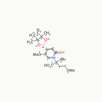 COCCC(C(=O)O)(n1cc(OC)c(B2OC(C)(C)C(C)(C)O2)cc1=O)C(C)(C)C